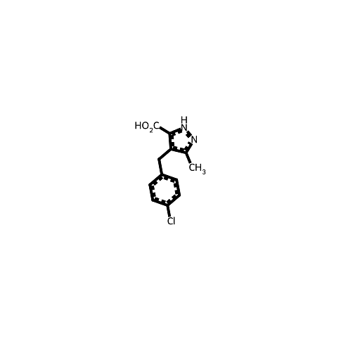 Cc1n[nH]c(C(=O)O)c1Cc1ccc(Cl)cc1